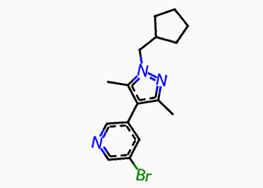 Cc1nn(CC2CCCC2)c(C)c1-c1cncc(Br)c1